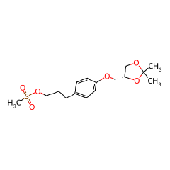 CC1(C)OC[C@@H](COc2ccc(CCCOS(C)(=O)=O)cc2)O1